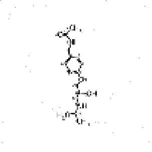 CC(=O)NCc1ccc(OCC(O)CNC(C)C)nc1